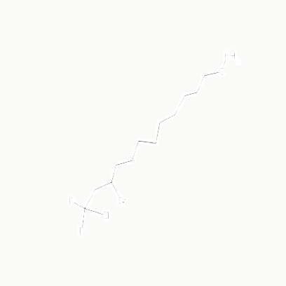 COCCCCCCCCCC(Br)CC(F)(F)Cl